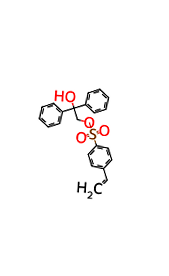 C=Cc1ccc(S(=O)(=O)OCC(O)(c2ccccc2)c2ccccc2)cc1